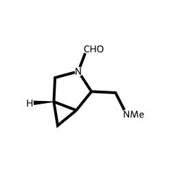 CNCC1C2C[C@@H]2CN1C=O